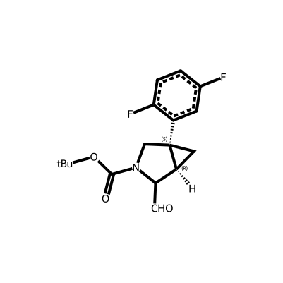 CC(C)(C)OC(=O)N1C[C@@]2(c3cc(F)ccc3F)C[C@H]2C1C=O